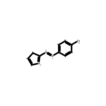 CCc1ccc(N=NC2=NC=CC2)cc1